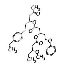 C=Cc1ccc(CCC(CC(C)=O)OC(=O)CC(CCOc2ccccc2)OC(=O)CC(CC)OC)cc1